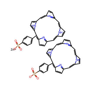 O=S(=O)([O-])c1ccc(-c2c3nc(cc4ccc(cc5nc(cc6ccc2[nH]6)C=C5)[nH]4)C=C3)cc1.O=S(=O)([O-])c1ccc(-c2c3nc(cc4ccc(cc5nc(cc6ccc2[nH]6)C=C5)[nH]4)C=C3)cc1.[Zn+2]